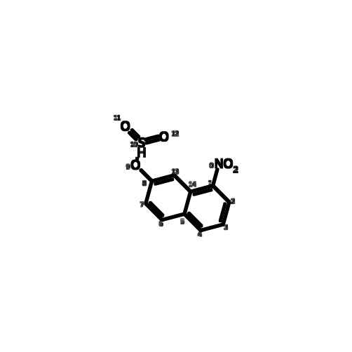 O=[N+]([O-])c1cccc2ccc(O[SH](=O)=O)cc12